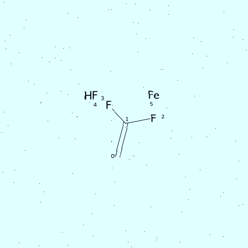 C=C(F)F.F.[Fe]